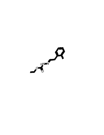 CCOC(=O)NN=CCc1ccccc1C